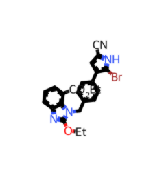 CCOC(=O)c1cccc2nc(OCC)n(Cc3ccc(-c4cc(C#N)[nH]c4Br)cc3)c12